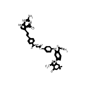 CC1(C)CC(=O)c2c(C(F)(F)F)nn(-c3ccc(C(N)=O)c(NC4CCC(OC(=O)CNC(=O)c5ccc(CCc6c[nH]c7[nH]c(N)nc(=O)c67)cc5)CC4)c3)c2C1